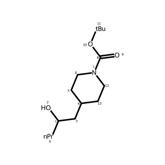 CCCC(O)CC1CCN(C(=O)OC(C)(C)C)CC1